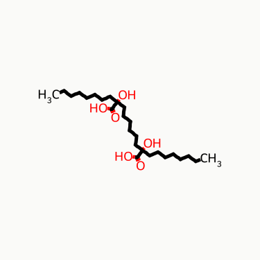 CCCCCCCCC(O)(CCCCCCC(O)(CCCCCCCC)C(=O)O)C(=O)O